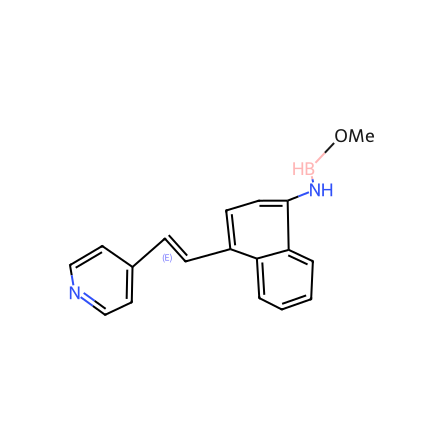 COBNc1ccc(/C=C/c2ccncc2)c2ccccc12